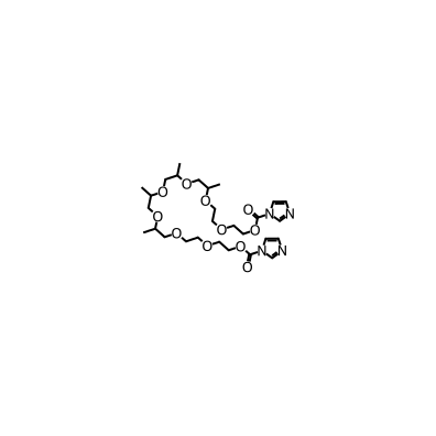 CC(COCCOCCOC(=O)n1ccnc1)OCC(C)OCC(C)OCC(C)OCCOCCOC(=O)n1ccnc1